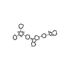 c1ccc(-c2nc(-c3ccccc3)nc(-c3ccc(-n4c5ccccc5c5cc(-c6ccc(-c7cn8ccccc8n7)cc6)ccc54)cc3)n2)cc1